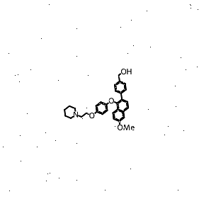 COc1ccc2c(Oc3ccc(OCCN4CCCCC4)cc3)c(-c3ccc(CO)cc3)ccc2c1